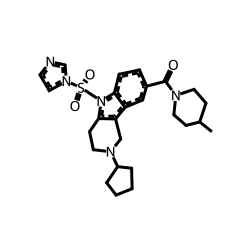 CC1CCN(C(=O)c2ccc3c(c2)c2c(n3S(=O)(=O)n3ccnc3)CCN(C3CCCC3)C2)CC1